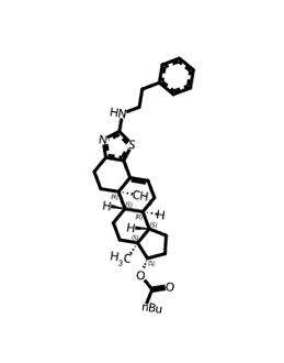 CCCCC(=O)O[C@H]1CC[C@H]2[C@@H]3CC=C4c5sc(NCCc6ccccc6)nc5CC[C@]4(C)[C@H]3CC[C@]12C